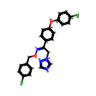 Clc1ccc(CON=C(Cn2cncn2)c2ccc(Oc3ccc(Cl)cc3)cc2)cc1